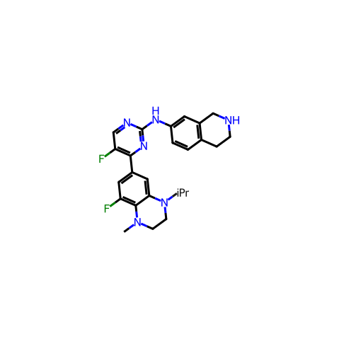 CC(C)N1CCN(C)c2c(F)cc(-c3nc(Nc4ccc5c(c4)CNCC5)ncc3F)cc21